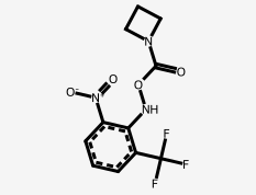 O=C(ONc1c([N+](=O)[O-])cccc1C(F)(F)F)N1CCC1